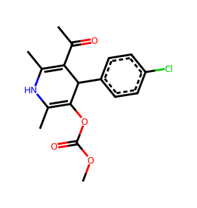 COC(=O)OC1=C(C)NC(C)=C(C(C)=O)C1c1ccc(Cl)cc1